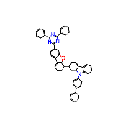 c1ccc(-c2ccc(-n3c4ccccc4c4ccc(-c5cccc6c5oc5cc(-c7nc(-c8ccccc8)nc(-c8ccccc8)n7)ccc56)cc43)cc2)cc1